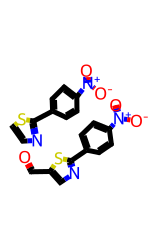 O=Cc1cnc(-c2ccc([N+](=O)[O-])cc2)s1.O=[N+]([O-])c1ccc(-c2nccs2)cc1